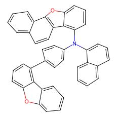 c1ccc2c(N(c3ccc(-c4cccc5oc6ccccc6c45)cc3)c3cccc4oc5c6ccccc6ccc5c34)cccc2c1